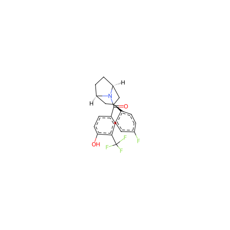 O=C(c1ccc(O)c(C(F)(F)F)c1)N1[C@@H]2CC[C@H]1C[C@@H](c1ccc(F)cc1)C2